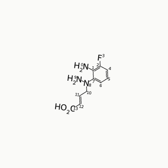 Nc1c(F)cccc1N(N)CC=CC(=O)O